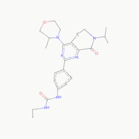 CCNC(=O)Nc1ccc(-c2nc3c(c(N4CCOCC4C)n2)CCN(C(C)C)C3=O)cc1